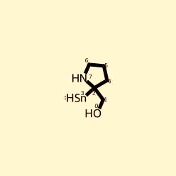 OC[C]1([SnH])CCCN1